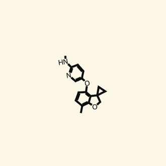 CNc1ccc(Oc2ccc(C)c3c2C2(CC2)CO3)cn1